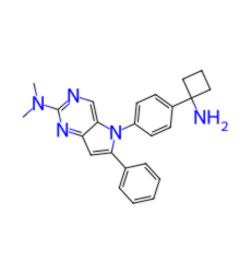 CN(C)c1ncc2c(cc(-c3ccccc3)n2-c2ccc(C3(N)CCC3)cc2)n1